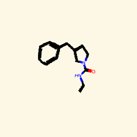 CCNC(=O)N1CCC(Cc2ccccc2)C1